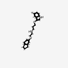 Fc1ccc2[nH]cc(OCCCNCCOc3ccc4c(c3)CCC4)c2c1